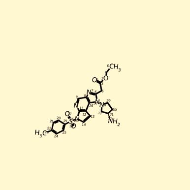 CCOC(=O)Cc1nc2cnc3c(ccn3S(=O)(=O)c3ccc(C)cc3)c2n1N1CC[C@@H](N)C1